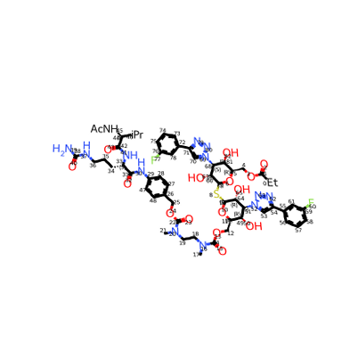 CCC(=O)OC[C@H]1O[C@@H](S[C@@H]2O[C@H](COC(=O)N(C)CCN(C)C(=O)OCc3ccc(NC(=O)[C@H](CCCNC(N)=O)NC(=O)[C@@H](NC(C)=O)C(C)C)cc3)[C@H](O)[C@H](n3cc(-c4cccc(F)c4)nn3)[C@H]2O)[C@H](O)[C@@H](n2cc(-c3cccc(F)c3)nn2)[C@H]1O